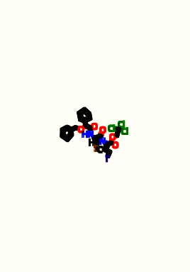 O=C(OCC(Cl)(Cl)Cl)C1=C(CI)CS[C@H]2C(NC(=O)C(OCc3ccccc3)c3ccccc3)C(=O)N12